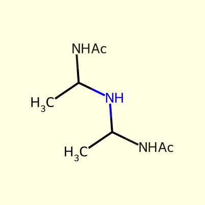 CC(=O)NC(C)NC(C)NC(C)=O